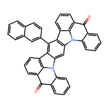 O=c1c2ccccc2n2c3cc4c(c(-c5ccc6ccccc6c5)c3c3cccc1c32)c1cccc2c(=O)c3ccccc3n4c21